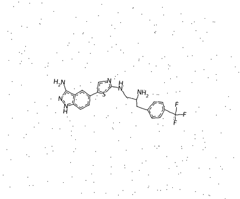 Nc1n[nH]c2ccc(-c3cnc(NCC(N)Cc4ccc(C(F)(F)F)cc4)s3)cc12